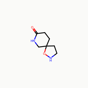 O=C1CCC2(CCNO2)CN1